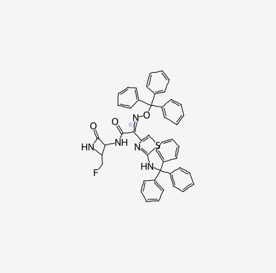 O=C(NC1C(=O)NC1CF)/C(=N/OC(c1ccccc1)(c1ccccc1)c1ccccc1)c1csc(NC(c2ccccc2)(c2ccccc2)c2ccccc2)n1